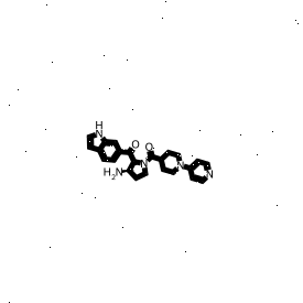 N[C@@H]1CCN(C(=O)C2CCN(c3ccncc3)CC2)C1C(=O)c1ccc2cc[nH]c2c1